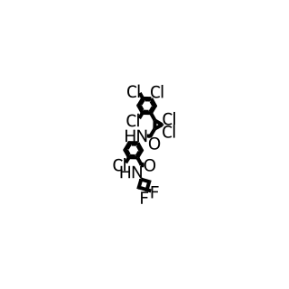 O=C(NC1CC(F)(F)C1)c1cc(NC(=O)C2C(c3cc(Cl)c(Cl)cc3Cl)C2(Cl)Cl)ccc1Cl